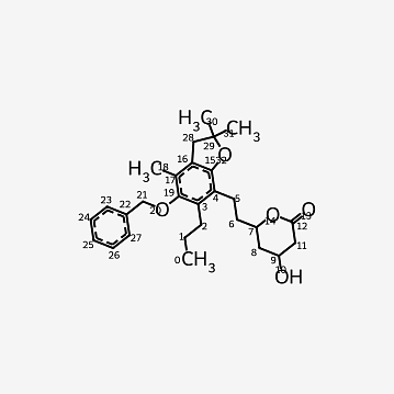 CCCc1c(CCC2CC(O)CC(=O)O2)c2c(c(C)c1OCc1ccccc1)CC(C)(C)O2